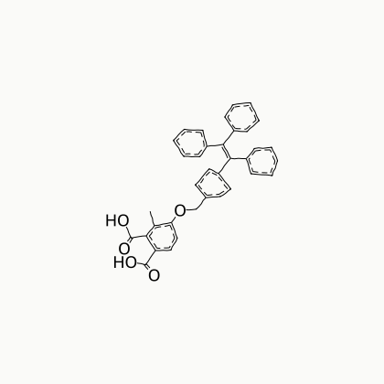 Cc1c(OCc2ccc(C(=C(c3ccccc3)c3ccccc3)c3ccccc3)cc2)ccc(C(=O)O)c1C(=O)O